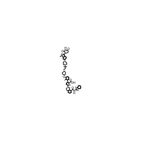 Cc1c(O[C@H]2CC[C@H](CCC(C)(C)N3CCN(c4ccc5c(C6CCC(=O)NC6=O)nn(C)c5c4)CC3)CC2)cccc1-c1ccc(N2CCc3cccc(C(=O)Nc4nc5ccccc5s4)c3C2)nc1C(=O)O